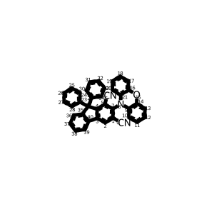 N#Cc1cc2c(c(C#N)c1N1c3ccccc3Oc3ccccc31)C(c1ccccc1)(c1ccccc1)c1ccccc1-2